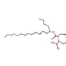 CCCCCCCCCCCCCC(CCCC)OC(=O)C1CC=CCC1C(=O)O